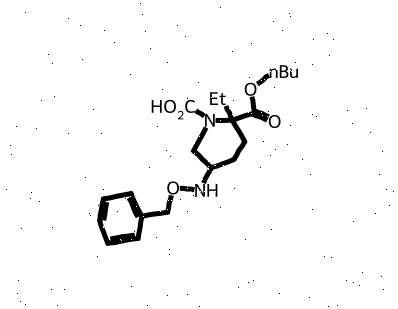 CCCCOC(=O)C1(CC)CCC(NOCc2ccccc2)CN1C(=O)O